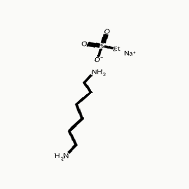 CCS(=O)(=O)[O-].NCCCCCCN.[Na+]